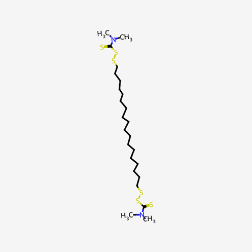 CN(C)C(=S)SSCCCCCCCCCCCCCCCCCCSSC(=S)N(C)C